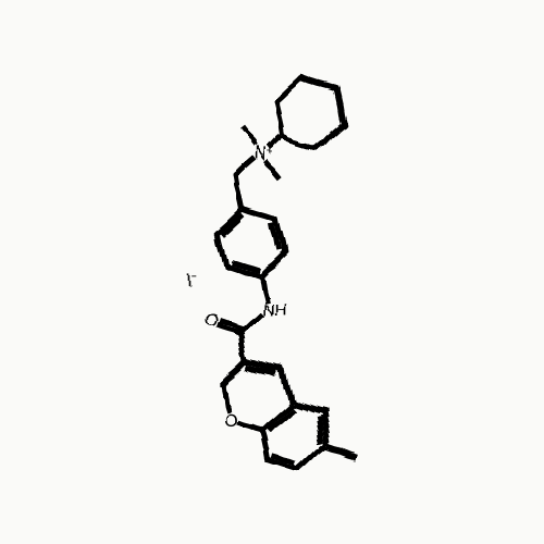 Cc1ccc2c(c1)C=C(C(=O)Nc1ccc(C[N+](C)(C)C3CCCCC3)cc1)CO2.[I-]